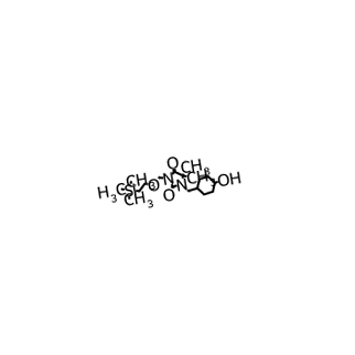 CC1(C)C(=O)N(COCC[Si](C)(C)C)C(=O)N1CC1CCC(O)CC1